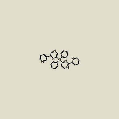 c1ccc([Si](c2ccccc2)(c2cncc(-c3cccnc3)n2)c2ccnc(-c3ccccn3)n2)cc1